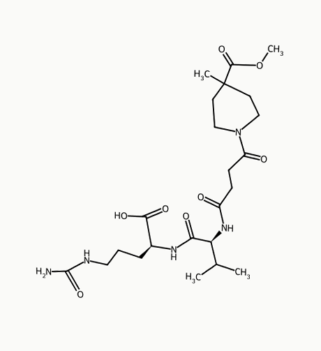 COC(=O)C1(C)CCN(C(=O)CCC(=O)N[C@H](C(=O)N[C@@H](CCCNC(N)=O)C(=O)O)C(C)C)CC1